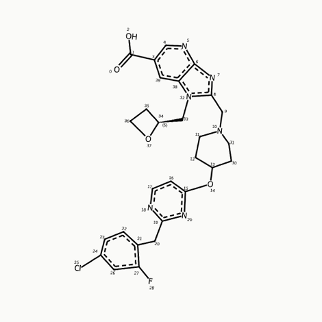 O=C(O)c1cnc2nc(CN3CCC(Oc4ccnc(Cc5ccc(Cl)cc5F)n4)CC3)n(C[C@@H]3CCO3)c2c1